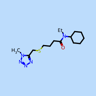 CCN(C(=O)CCCSCc1nnnn1C)C1CCCCC1